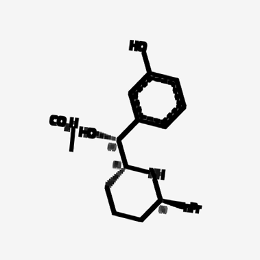 CC(=O)O.CCC[C@H]1CCC[C@H]([C@H](O)c2cccc(O)c2)N1